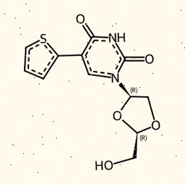 O=c1[nH]c(=O)n([C@H]2CO[C@@H](CO)O2)cc1-c1cccs1